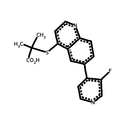 CC(C)(Sc1ccnc2ccc(-c3ccncc3F)cc12)C(=O)O